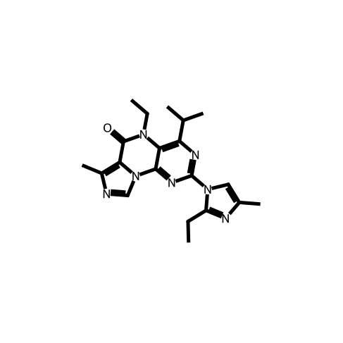 CCc1nc(C)cn1-c1nc(C(C)C)c2c(n1)n1cnc(C)c1c(=O)n2CC